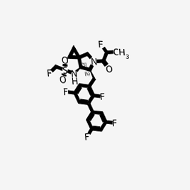 CC(F)C(=O)N1CC2(CC2)[C@H](NS(=O)(=O)CF)[C@@H]1Cc1cc(F)cc(-c2cc(F)cc(F)c2)c1F